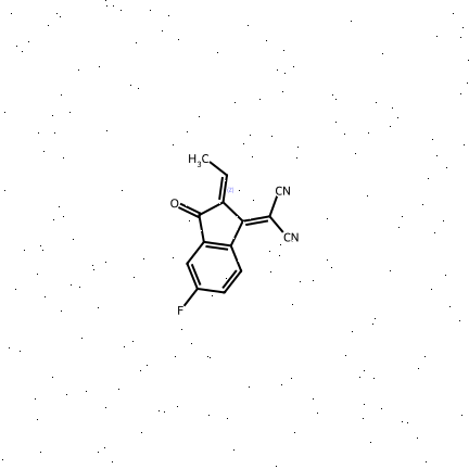 C/C=C1\C(=O)c2cc(F)ccc2C1=C(C#N)C#N